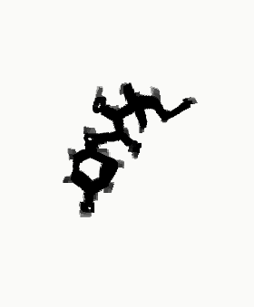 CC(C)(CCF)C(=O)C(Br)Oc1ccc(Cl)cc1